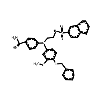 COc1cc(N(CCNS(=O)(=O)c2ccc3ccccc3c2)c2ccc(C(=N)N)cc2)ccc1OCc1ccccc1